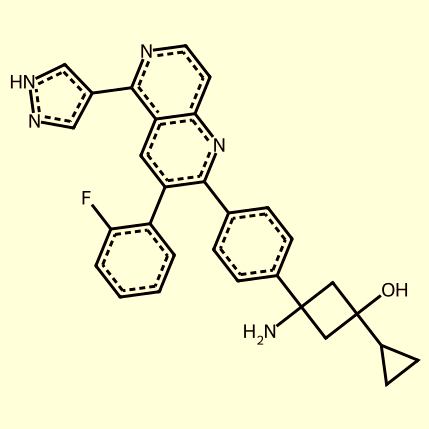 NC1(c2ccc(-c3nc4ccnc(-c5cn[nH]c5)c4cc3-c3ccccc3F)cc2)CC(O)(C2CC2)C1